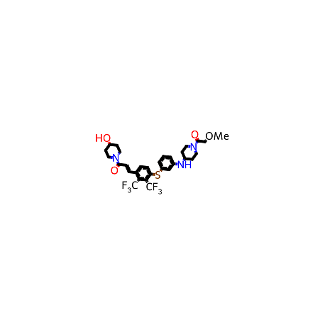 COCC(=O)N1CCC(Nc2cccc(Sc3ccc(C=CC(=O)N4CCC(O)CC4)c(C(F)(F)F)c3C(F)(F)F)c2)CC1